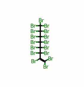 BrC(Br)=C(Br)C(Br)(Br)C(Br)(Br)C(Br)(Br)C(Br)(Br)C(Br)(Br)C(Br)(Br)Br